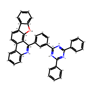 c1ccc(-c2nc(-c3ccccc3)nc(-c3cccc(-c4nc5ccccc5c5ccc6c7ccccc7oc6c45)c3)n2)cc1